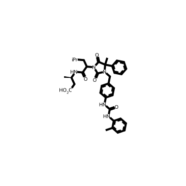 Cc1ccccc1NC(=O)Nc1ccc(CN2C(=O)N(C(CC(C)C)C(=O)N[C@H](C)CC(=O)O)C(=O)C2(C)c2ccccc2)cc1